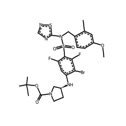 COc1ccc(CN(c2ncns2)S(=O)(=O)c2c(F)cc(N[C@H]3CCN(C(=O)OC(C)(C)C)C3)c(Br)c2F)c(C)c1